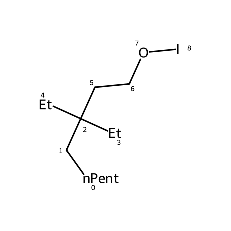 CCCCCCC(CC)(CC)CCOI